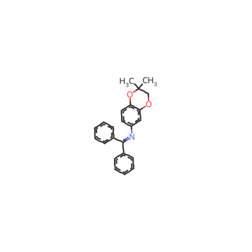 CC1(C)COc2cc(N=C(c3ccccc3)c3ccccc3)ccc2O1